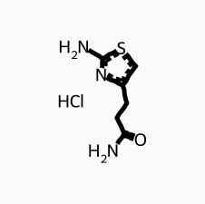 Cl.NC(=O)CCc1csc(N)n1